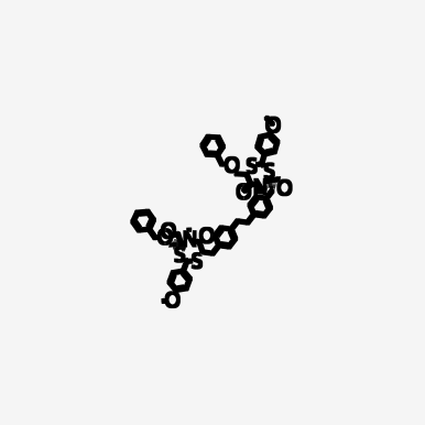 COc1ccc(C2SC(COCc3ccccc3)C(=O)N(C)[C@@](C=O)(Cc3ccc(CCc4ccc(CC5SC(c6ccc(OC)cc6)S[C@@](C=O)(COCc6ccccc6)N(C)C5=O)cc4)cc3)S2)cc1